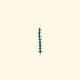 CCCCCCCCCCC(F)(F)C(F)(F)C(F)(F)C(F)(F)C(F)(F)C(F)(F)C(F)(F)C(F)(F)CCC